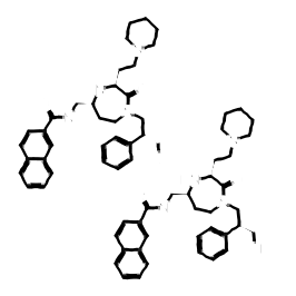 CC[C@@H](CN1CC[C@@H](CNC(=O)c2ccc3ccccc3c2)N[C@@H](CCN2CCCCC2)C1=O)c1ccccc1.CC[C@H](CN1CC[C@@H](CNC(=O)c2ccc3ccccc3c2)N[C@@H](CCN2CCCCC2)C1=O)c1ccccc1